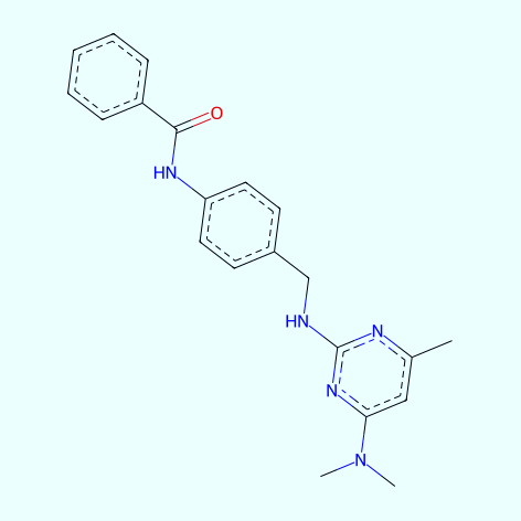 Cc1cc(N(C)C)nc(NCc2ccc(NC(=O)c3ccccc3)cc2)n1